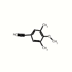 C#Cc1cc(C)c(OC)c(C)c1